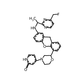 CC(Nc1ccc2c(c1)Cc1cccc(C3CN(c4cc[nH]c(=O)c4)CCO3)c1O2)c1nccc(CF)n1